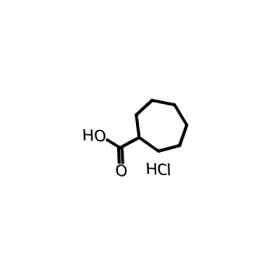 Cl.O=C(O)C1CCCCCC1